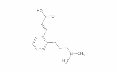 CN(C)CCCc1ccccc1/C=C/C(=O)O